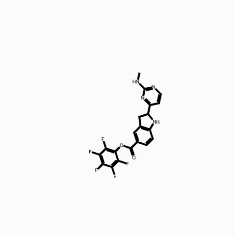 CNc1nccc(C2Cc3cc(C(=O)Oc4c(F)c(F)c(F)c(F)c4F)ccc3N2)n1